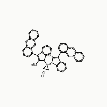 CCCCC1=C(c2cccc3cc4ccccc4cc23)c2ccccc2[CH]1[Zr+2]1([CH]2C(CCCC)=C(c3cccc4cc5ccccc5cc34)c3ccccc32)[CH2][CH2]1.[Cl-].[Cl-]